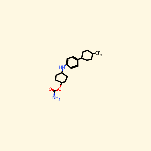 NC(=O)OC1CCC(Nc2ccc(C3CCC(C(F)(F)F)CC3)cc2)CC1